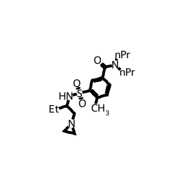 CCCN(CCC)C(=O)c1ccc(C)c(S(=O)(=O)NC(CC)CN2CC2)c1